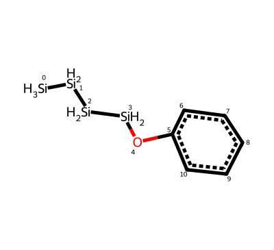 [SiH3][SiH2][SiH2][SiH2]Oc1cc[c]cc1